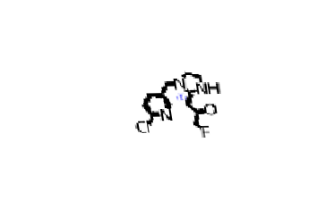 O=C(/C=C1\NCCN1Cc1ccc(Cl)nc1)CF